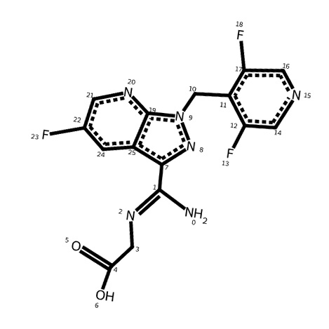 NC(=NCC(=O)O)c1nn(Cc2c(F)cncc2F)c2ncc(F)cc12